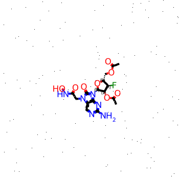 CC(=O)OC[C@H]1O[C@@H](n2c(=O)n(CC(=O)NO)c3cnc(N)nc32)[C@H](OC(C)=O)[C@@H]1F